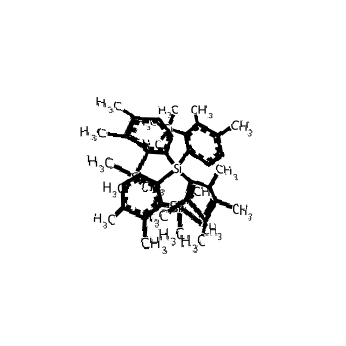 CC1=C(C)C(C)C([Si](c2ccc(C)c(C)c2[Si](C)(C)C)(c2ccc(C)c(C)c2[Si](C)(C)C)c2ccc(C)c(C)c2[Si](C)(C)C)=C1C